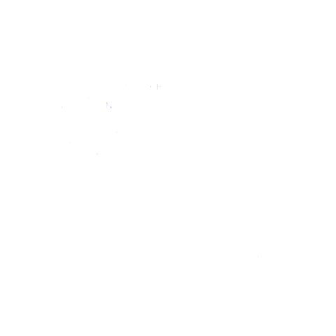 C=C1CCC(=O)N1OC(=O)CCCCOc1ccc(C)cc1